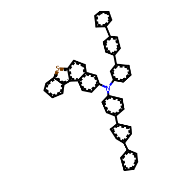 c1ccc(-c2ccc(-c3ccc(N(c4cccc(-c5ccc(-c6ccccc6)cc5)c4)c4ccc5c(ccc6sc7ccccc7c65)c4)cc3)cc2)cc1